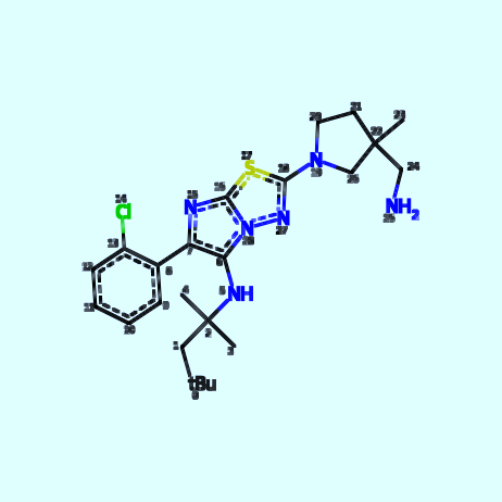 CC(C)(C)CC(C)(C)Nc1c(-c2ccccc2Cl)nc2sc(N3CCC(C)(CN)C3)nn12